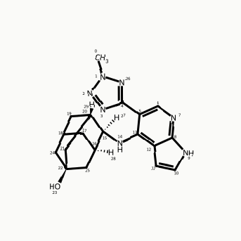 Cn1nnc(-c2cnc3[nH]ccc3c2N[C@H]2[C@@H]3CC4C[C@H]2C[C@@](O)(C4)C3)n1